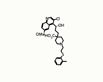 COc1ccc2ncc(Cl)c([C@H](O)CCC3(C(=O)O)CCN(CCSc4ccccc4C)CC3)c2c1